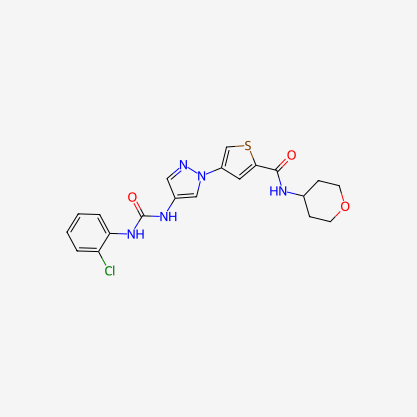 O=C(Nc1cnn(-c2csc(C(=O)NC3CCOCC3)c2)c1)Nc1ccccc1Cl